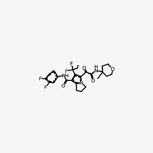 CC1(NC(=O)C(=O)c2c(C(F)(F)F)c(C(=O)Nc3ccc(F)c(F)c3)c3n2CCC3)CCOCC1